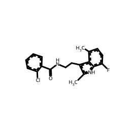 Cc1[nH]c2c(F)ccc(C)c2c1CCNC(=O)c1ccccc1Cl